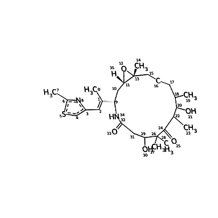 C/C(=C\c1csc(C)n1)[C@@H]1C[C@@H]2O[C@]2(C)CCCC(C)C(O)C(C)C(=O)C(C)(C)C(O)CC(=O)N1